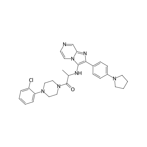 CC(Nc1c(-c2ccc(N3CCCC3)cc2)nc2cnccn12)C(=O)N1CCN(c2ccccc2Cl)CC1